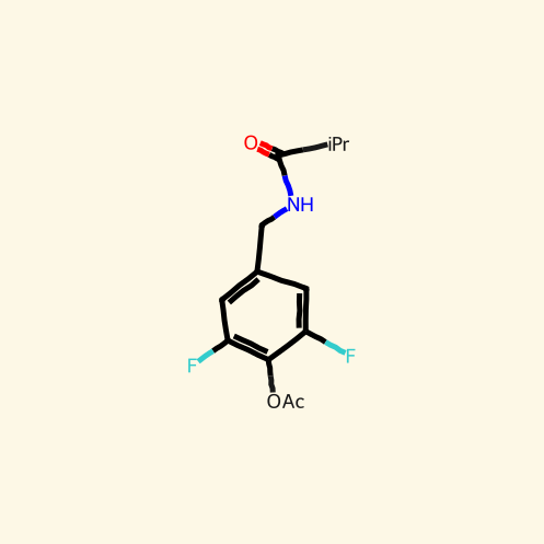 CC(=O)Oc1c(F)cc(CNC(=O)C(C)C)cc1F